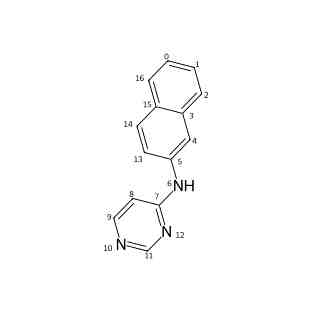 c1ccc2cc(Nc3ccncn3)ccc2c1